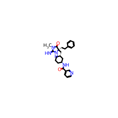 CN1C(=N)N[C@](CCc2ccccc2)(C[C@H]2CCC[C@@H](NC(=O)c3cccnc3)C2)C1=O